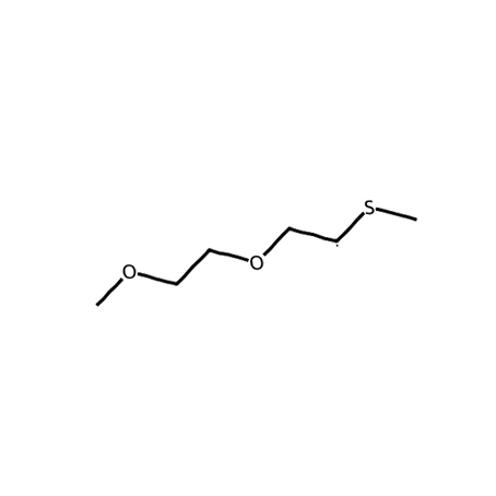 COCCOC[CH]SC